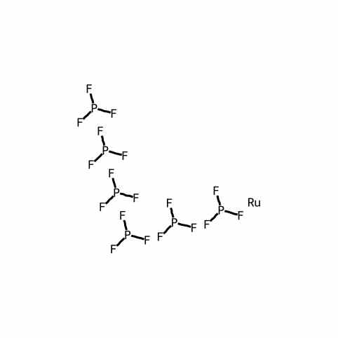 FP(F)F.FP(F)F.FP(F)F.FP(F)F.FP(F)F.FP(F)F.[Ru]